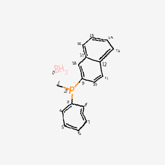 B.CP(c1ccccc1)c1ccc2ccccc2c1